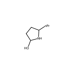 [CH2]CCC1CCC(O)N1